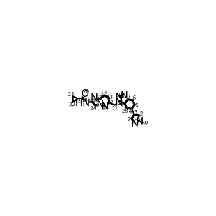 Cn1cc(-c2ccc3nnn(Cc4ccc5nc(NC(=O)C6CC6)cn5n4)c3c2)cn1